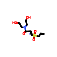 C=CCS(=O)(=O)/C=C/C(=O)N(CCO)CCO